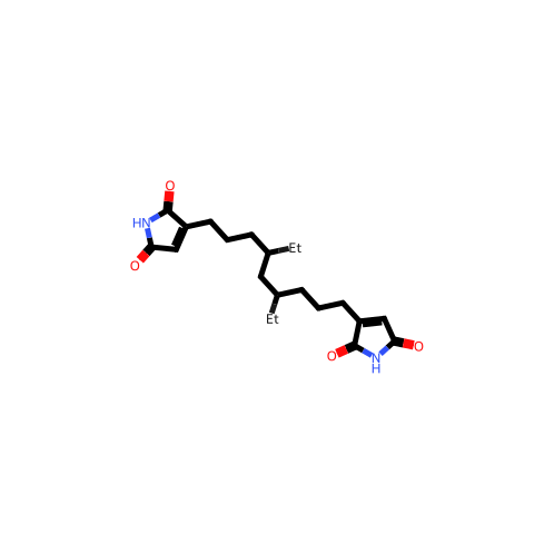 CCC(CCCC1=CC(=O)NC1=O)CC(CC)CCCC1=CC(=O)NC1=O